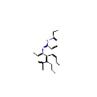 C=C\C(=N/C(=C\C)C(/C=C\CC)=C(/CCC)C(=C)C)NC(=C)CC